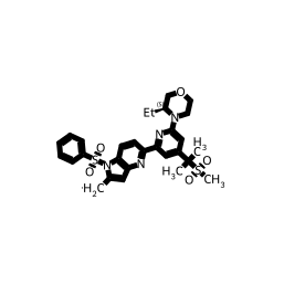 [CH2]c1cc2nc(-c3cc(C(C)(C)S(C)(=O)=O)cc(N4CCOC[C@@H]4CC)n3)ccc2n1S(=O)(=O)c1ccccc1